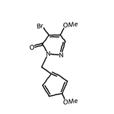 COc1ccc(Cn2ncc(OC)c(Br)c2=O)cc1